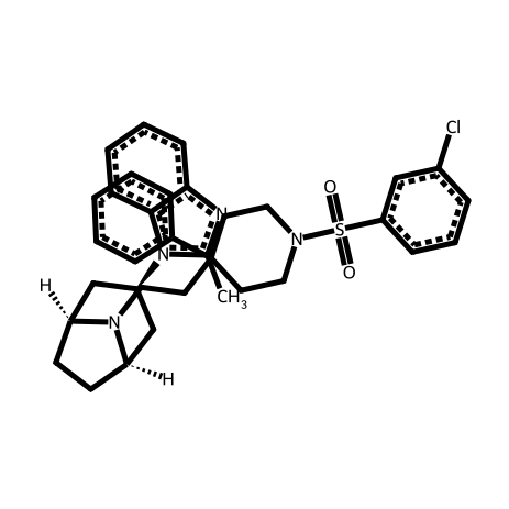 Cc1nc2ccccc2n1[C@H]1C[C@H]2CC[C@@H](C1)N2CCC1(c2ccccc2)CCN(S(=O)(=O)c2cccc(Cl)c2)CC1